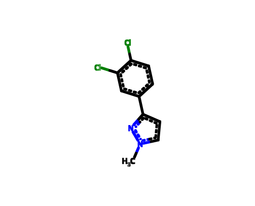 Cn1ccc(-c2ccc(Cl)c(Cl)c2)n1